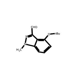 CCCCOc1cccc2c1c(C=O)nn2C